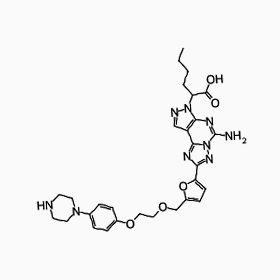 CCCCC(C(=O)O)n1ncc2c1nc(N)n1nc(-c3ccc(COCCOc4ccc(N5CCNCC5)cc4)o3)nc21